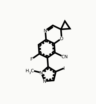 Cn1ncc(I)c1-c1c(F)cc2c(c1C#N)OC1(C=N2)CC1